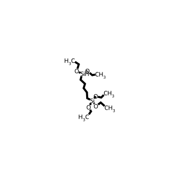 CCO[SiH](CCCCC[Si](OCC)(OCC)OCC)OCC